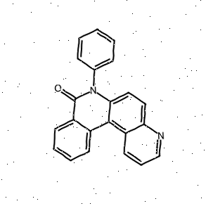 O=c1c2ccccc2c2c3cccnc3ccc2n1-c1ccccc1